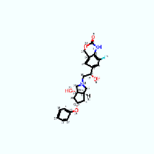 O=C1Nc2c(F)cc([C@@H](O)CN3C[C@H]4C[C@H](Oc5ccccc5)C[C@@]4(O)C3)cc2CO1